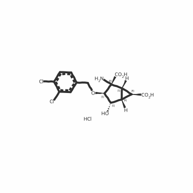 Cl.N[C@]1(C(=O)O)[C@@H]2[C@@H](C(=O)O)[C@@H]2[C@H](O)[C@H]1OCc1ccc(Cl)c(Cl)c1